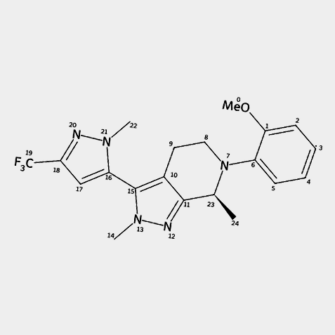 COc1c[c]ccc1N1CCc2c(nn(C)c2-c2cc(C(F)(F)F)nn2C)[C@@H]1C